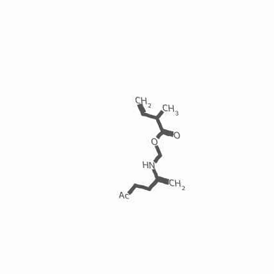 C=CC(C)C(=O)OCNC(=C)CCC(C)=O